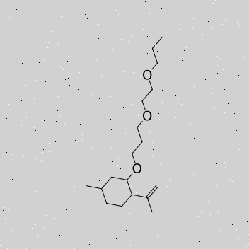 C=C(C)C1CCC(C)CC1OCCCOCCOCCC